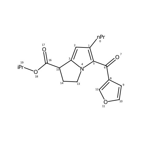 CCCc1cc2n(c1C(=O)c1ccoc1)CCC2C(=O)OC(C)C